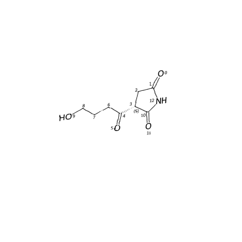 O=C1C[C@@H](C(=O)CCCO)C(=O)N1